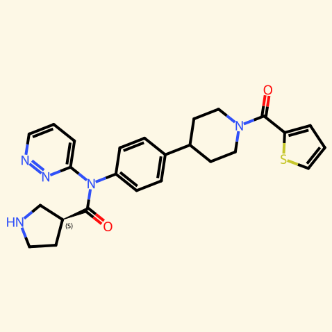 O=C(c1cccs1)N1CCC(c2ccc(N(C(=O)[C@H]3CCNC3)c3cccnn3)cc2)CC1